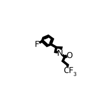 O=C(CCC(F)(F)F)N1CC(c2cccc(F)c2)C1